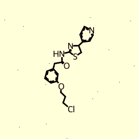 O=C(Cc1cccc(OCCCCl)c1)NC1=NC(c2ccncc2)CS1